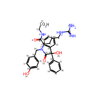 N=C(N)NCCC[C@H](C(=O)NCC(=O)O)N(Cc1ccc(O)cc1)C(=O)C(O)(c1ccccc1)c1ccccc1